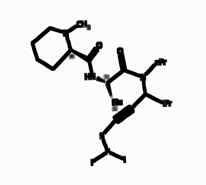 CCCN(C(=O)[C@@H](NC(=O)[C@H]1CCCCN1C)[C@@H](C)CC)C(C#CSP(I)I)C(C)C